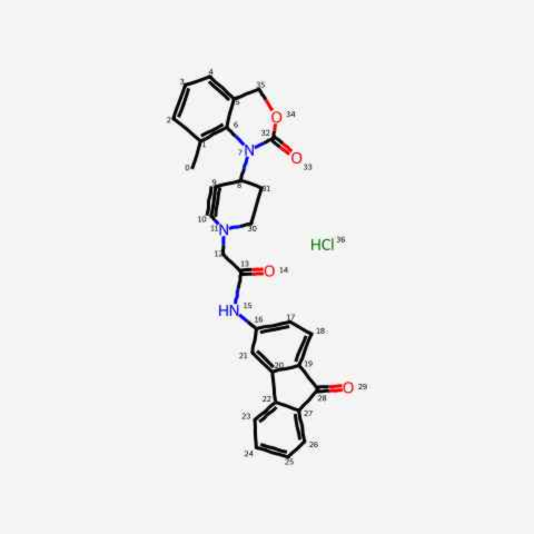 Cc1cccc2c1N(C1C#CN(CC(=O)Nc3ccc4c(c3)-c3ccccc3C4=O)CC1)C(=O)OC2.Cl